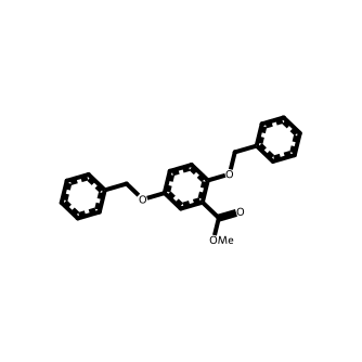 COC(=O)c1cc(OCc2ccccc2)ccc1OCc1ccccc1